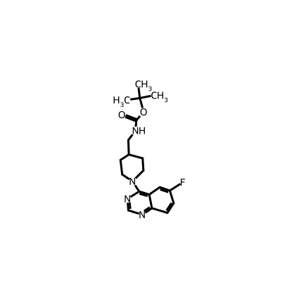 CC(C)(C)OC(=O)NCC1CCN(c2ncnc3ccc(F)cc23)CC1